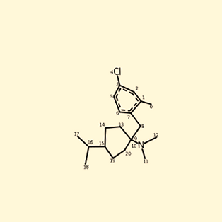 Cc1cc(Cl)ccc1CC1(N(C)C)CCC(C(C)C)CC1